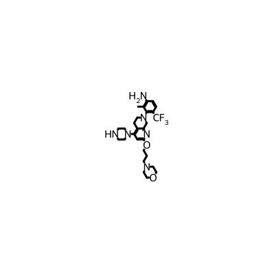 Cc1c(N)ccc(C(F)(F)F)c1N1CCc2c(N3CCNCC3)cc(OCCCN3CCOCC3)nc2C1